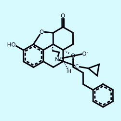 O=C1CC[C@@]2(OCCCc3ccccc3)[C@H]3Cc4ccc(O)c5c4[C@@]2(CC[N+]3([O-])CC2CC2)C1O5